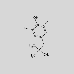 CC(C)(C)Cc1cc(F)c(O)c(F)c1